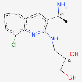 C[C@H](N)c1cc2cccc(Cl)c2nc1NC[C@H](O)CO